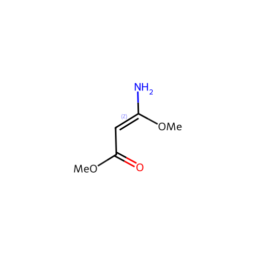 COC(=O)/C=C(/N)OC